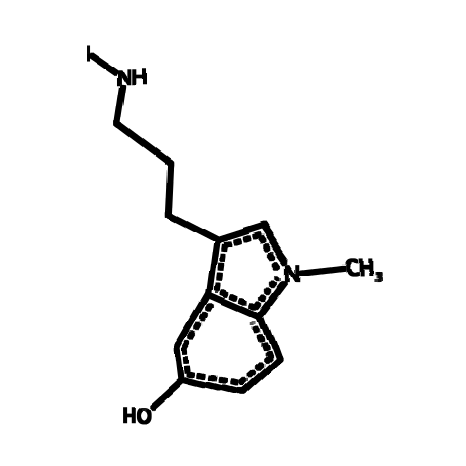 Cn1cc(CCCNI)c2cc(O)ccc21